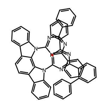 c1ccc(-c2nc(-c3ccccc3)nc(-n3c4ccccc4c4ccc5c6ccccc6n(-c6nc(-c7ccccc7)nc(-c7ccccc7-c7ccccc7)n6)c5c43)n2)cc1